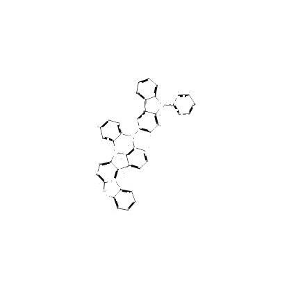 c1ccc(-n2c3ccccc3c3cc(N4c5ccccc5-n5c6ccc7oc8ccccc8c7c6c6cccc4c65)ccc32)cc1